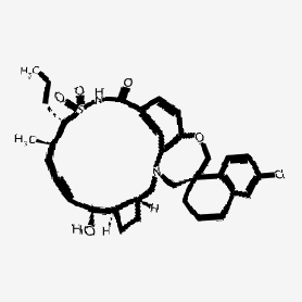 CCC[C@H]1[C@H](C)C/C=C\[C@H](O)[C@@H]2CC[C@H]2CN2C[C@@]3(CCCc4cc(Cl)ccc43)COc3ccc(cc32)C(=O)NS1(=O)=O